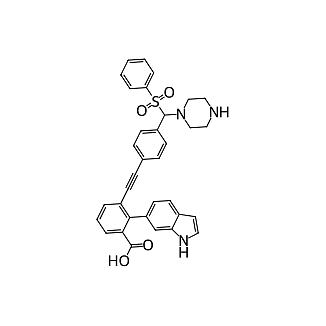 O=C(O)c1cccc(C#Cc2ccc(C(N3CCNCC3)S(=O)(=O)c3ccccc3)cc2)c1-c1ccc2cc[nH]c2c1